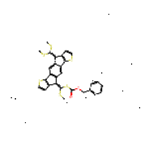 CSC(SC)=C1c2cc3c(cc2-c2sccc21)/C(=C(/SC)SC(=O)OCc1ccccc1)c1ccsc1-3